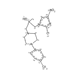 CC(O)(CN1CCN(c2ccc(C(F)(F)F)cc2)CC1)Cn1cc([N+](=O)[O-])nc1Cl